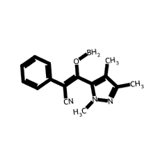 BOC(=C(C#N)c1ccccc1)c1c(C)c(C)nn1C